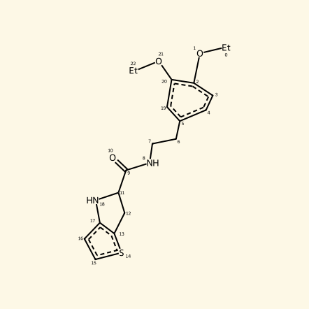 CCOc1ccc(CCNC(=O)C2Cc3sccc3N2)cc1OCC